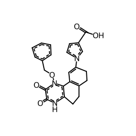 O=C(O)c1ccn(C2=CC3=C(CC2)CCc2[nH]c(=O)c(=O)n(OCc4ccccc4)c23)c1